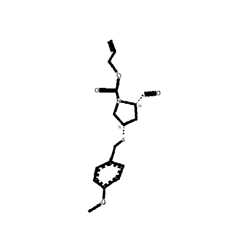 C=CCOC(=O)N1C[C@@H](SCc2ccc(OC)cc2)C[C@H]1C=O